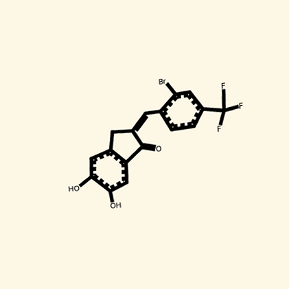 O=C1C(=Cc2ccc(C(F)(F)F)cc2Br)Cc2cc(O)c(O)cc21